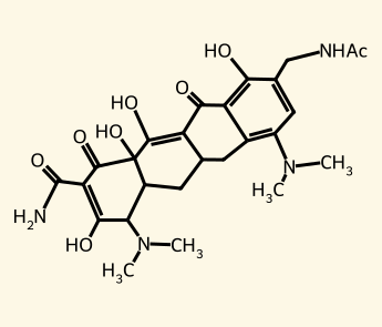 CC(=O)NCc1cc(N(C)C)c2c(c1O)C(=O)C1=C(O)C3(O)C(=O)C(C(N)=O)=C(O)C(N(C)C)C3CC1C2